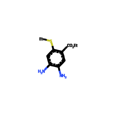 CCOC(=O)c1cc(N)c(N)cc1SCC